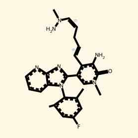 Cc1cc(F)cc(C)c1-n1c(-c2cn(C)c(=O)c(N)c2/C=C/C/C=C\N(C)N)nc2ncccc21